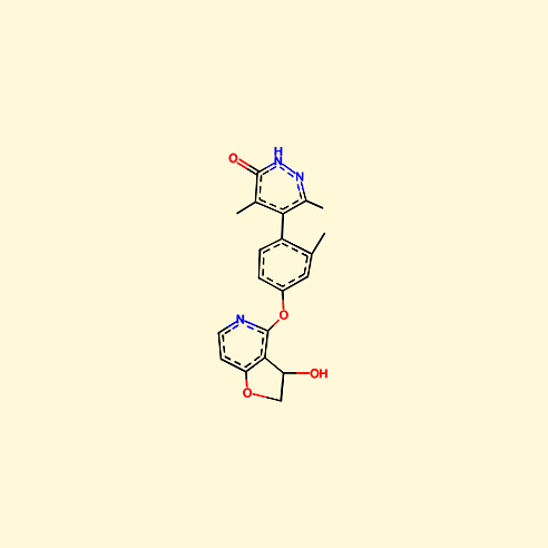 Cc1cc(Oc2nccc3c2C(O)CO3)ccc1-c1c(C)n[nH]c(=O)c1C